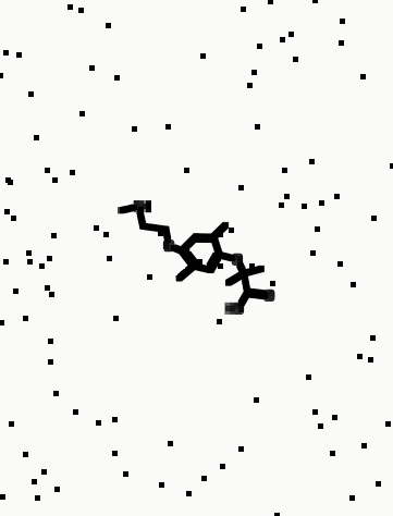 CNCCOc1cc(C)c(OC(C)(C)C(=O)O)cc1C